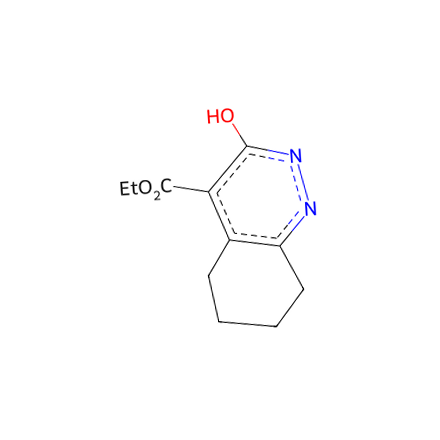 CCOC(=O)c1c(O)nnc2c1CCCC2